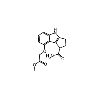 COC(=O)COc1cccc2[nH]c3c(c12)C(C(N)=O)CC3